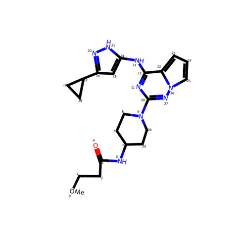 COCCC(=O)NC1CCN(c2nc(Nc3cc(C4CC4)n[nH]3)c3cccn3n2)CC1